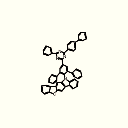 c1ccc(-c2ccc(-c3nc(-c4ccccc4)nc(-c4cc(-c5ccccc5)c(-n5c6ccccc6c6cc7oc8ccccc8c7cc65)c(-c5ccccc5)c4)n3)cc2)cc1